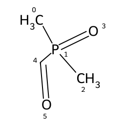 CP(C)(=O)C=O